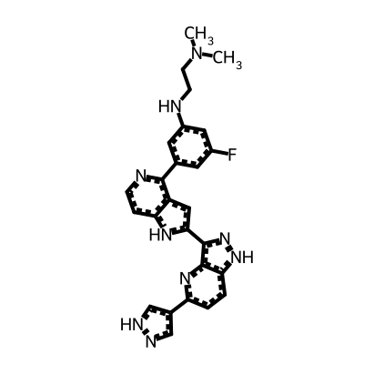 CN(C)CCNc1cc(F)cc(-c2nccc3[nH]c(-c4n[nH]c5ccc(-c6cn[nH]c6)nc45)cc23)c1